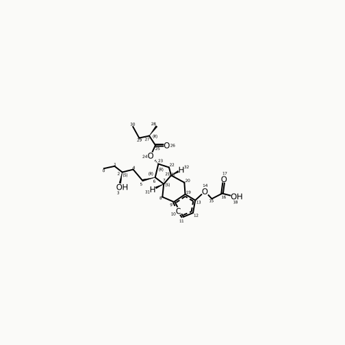 CC[C@H](O)CC[C@@H]1[C@H]2Cc3cccc(OCC(=O)O)c3C[C@H]2C[C@H]1OC(=O)[C@H](C)CC